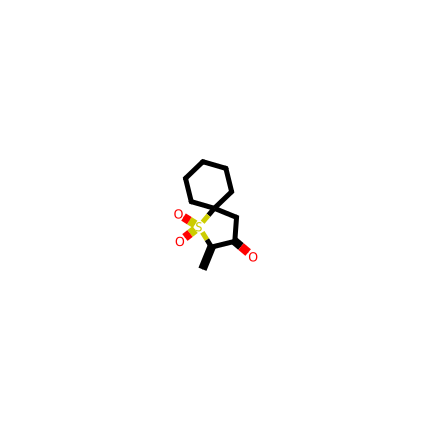 C=C1C(=O)CC2(CCCCC2)S1(=O)=O